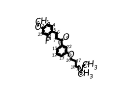 COc1ccc(C=CC(=O)c2cccc(OCCCN(C)C)c2)c(F)c1